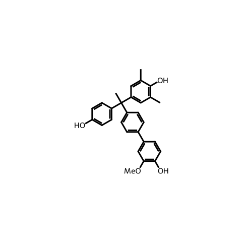 COc1cc(-c2ccc(C(C)(c3ccc(O)cc3)c3cc(C)c(O)c(C)c3)cc2)ccc1O